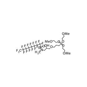 COCCO[Si](CCCOCC(O)CN(C)S(=O)(=O)C(F)(F)C(F)(F)C(F)(F)C(F)(F)C(F)(F)C(F)(F)C(F)(F)C(F)(F)F)(OCCOC)OCCOC